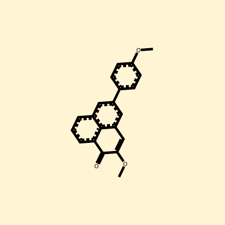 COC1=Cc2cc(-c3ccc(OC)cc3)cc3cccc(c23)C1=O